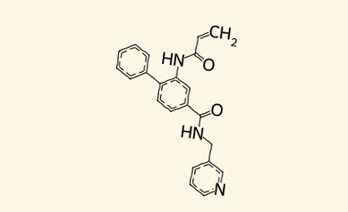 C=CC(=O)Nc1cc(C(=O)NCc2cccnc2)ccc1-c1ccccc1